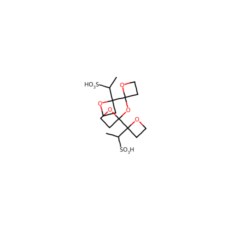 CC(C1(C2(OC3(C4(C(C)S(=O)(=O)O)CCO4)CCO3)CCO2)CCO1)S(=O)(=O)O